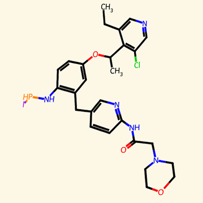 CCc1cncc(Cl)c1C(C)Oc1ccc(NPI)c(Cc2ccc(NC(=O)CN3CCOCC3)nc2)c1